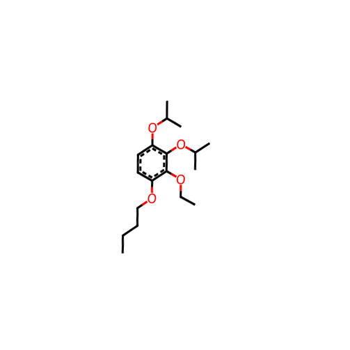 CCCCOc1ccc(OC(C)C)c(OC(C)C)c1OCC